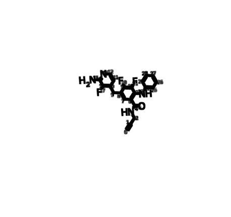 C#CCNC(=O)c1cc(Cc2ccnc(N)c2F)c(F)c(F)c1Nc1ccccc1